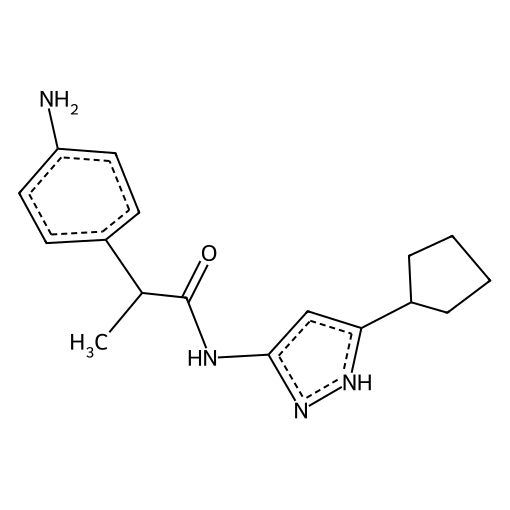 CC(C(=O)Nc1cc(C2CCCC2)[nH]n1)c1ccc(N)cc1